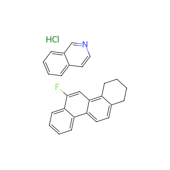 Cl.Fc1cc2c3c(ccc2c2ccccc12)CCCC3.c1ccc2cnccc2c1